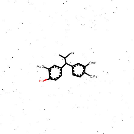 COc1cc(C(c2ccc(OC)c(OC(C)=O)c2)C(C)C(C)C)ccc1O